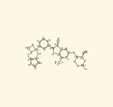 CC(C)[C@H]1CN(C)CCN1Cc1cc2c(c(C(F)(F)F)c1)CN(c1cccc(C3(Cc4nncn4C)COC3)c1)C2=O